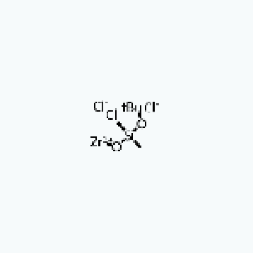 CC(C)(C)O[Si](C)(C)[O][Zr+3].[Cl-].[Cl-].[Cl-]